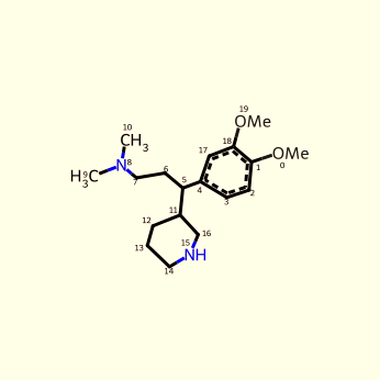 COc1ccc(C(CCN(C)C)C2CCCNC2)cc1OC